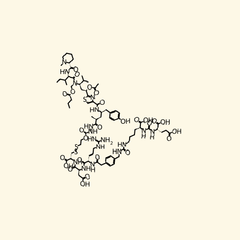 CCCC(=O)OCN(C(=O)[C@@H](NC(=O)[C@H]1CCCCN1C)C(C)CC)[C@H](C[C@@H](OC(C)=O)c1nc(C(=O)N[C@@H](Cc2ccc(O)cc2)C[C@H](C)C(=O)NNC(=O)OCCSSC[C@H](NC(=O)[C@H](CC(=O)O)NC(=O)[C@H](CCCNC(=N)N)NC(=O)Cc2ccc(CNC(=O)NCCCC[C@H](NC(=O)N[C@@H](CCC(=O)O)C(=O)O)C(=O)O)cc2)C(=O)O)cs1)C(C)C